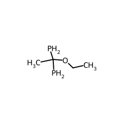 CCOC(C)(P)P